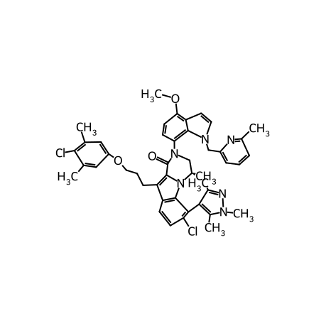 COc1ccc(N2C[C@@H](C)n3c(c(CCCOc4cc(C)c(Cl)c(C)c4)c4ccc(Cl)c(-c5c(C)nn(C)c5C)c43)C2=O)c2c1ccn2Cc1cccc(C)n1